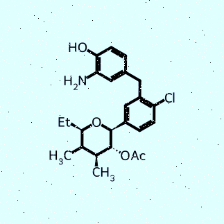 CC[C@H]1O[C@@H](c2ccc(Cl)c(Cc3ccc(O)c(N)c3)c2)[C@H](OC(C)=O)[C@@H](C)C1C